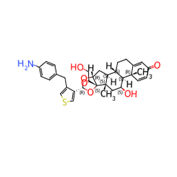 C[C@]12C=CC(=O)C=C1CC[C@@H]1[C@@H]2[C@@H](O)C[C@@]2(C)[C@H]1C[C@H]1O[C@@H](c3cscc3Cc3ccc(N)cc3)O[C@]12C(=O)CO